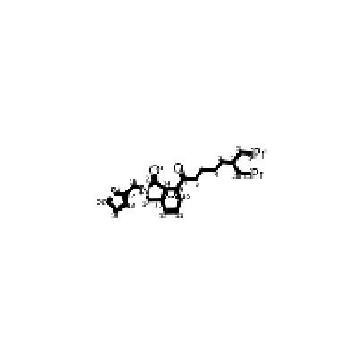 CC(C)CC(CCCCC(=O)C1C2C=CC3(CN(Cc4cccs4)C(=O)C13)O2)CC(C)C